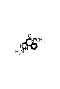 CCN1C(=O)Cc2cnc(N)nc2-c2ccccc21